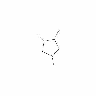 CC1CN(C)C[C@H]1C